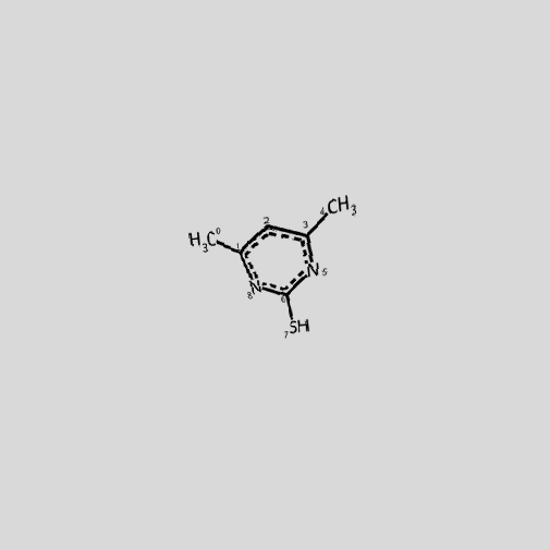 Cc1cc(C)nc(S)n1